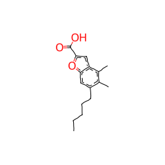 CCCCCc1cc2oc(C(=O)O)cc2c(C)c1C